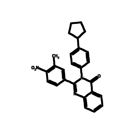 Cc1cc(-c2nc3ccccc3c(=O)n2-c2ccc(C3CCCC3)cc2)ccc1[N+](=O)[O-]